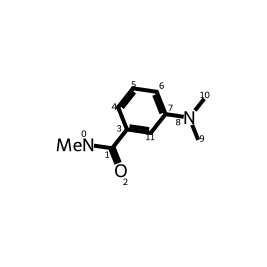 [CH2]NC(=O)c1cccc(N(C)C)c1